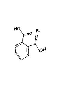 O=C(O)c1cccnc1C(=O)O.[Pt]